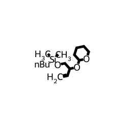 C=CC(CO[Si](C)(C)CCCC)OC1CCCCO1